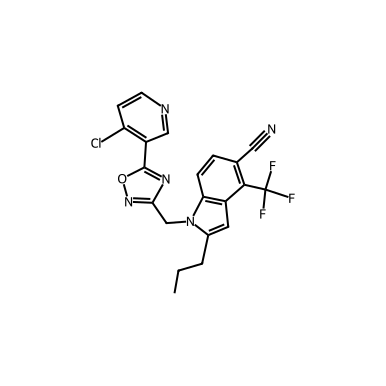 CCCc1cc2c(C(F)(F)F)c(C#N)ccc2n1Cc1noc(-c2cnccc2Cl)n1